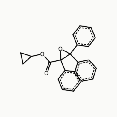 O=C(OC1CC1)C1(c2ccccc2)OC1(c1ccccc1)c1ccccc1